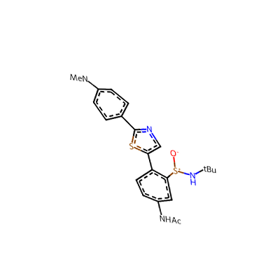 CNc1ccc(-c2ncc(-c3ccc(NC(C)=O)cc3[S+]([O-])NC(C)(C)C)s2)cc1